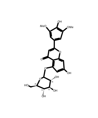 COc1cc(-c2cc(=O)c3c(OC4O[C@H](CO)[C@@H](O)[C@H](O)[C@H]4O)cc(O)cc3o2)cc(OC)c1O